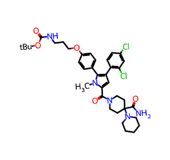 Cn1c(C(=O)N2CCC(C(N)=O)(N3CCCCC3)CC2)cc(-c2ccc(Cl)cc2Cl)c1-c1ccc(OCCCNC(=O)OC(C)(C)C)cc1